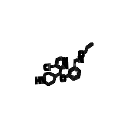 C=CCON=Cc1cccc(OC(c2nnccc2Cl)C2CCNCC2)c1